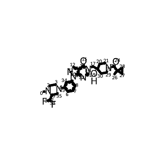 CN1CCN(c2cccc(-n3ncc4c(=O)n(CC5(O)CCN(C(=O)C6(C)CC6)CC5)cnc43)c2)CC1C(F)F